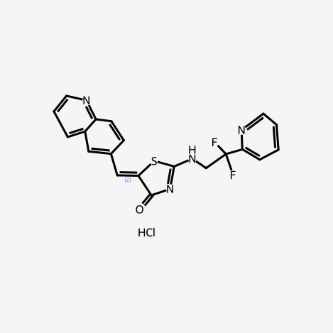 Cl.O=C1N=C(NCC(F)(F)c2ccccn2)S/C1=C\c1ccc2ncccc2c1